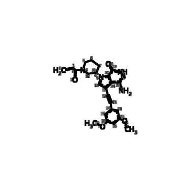 C=CC(=O)N1CCC[C@H](n2cc(C#Cc3cc(OC)cc(OC)c3)c3c(N)n[nH]c(=O)c32)C1